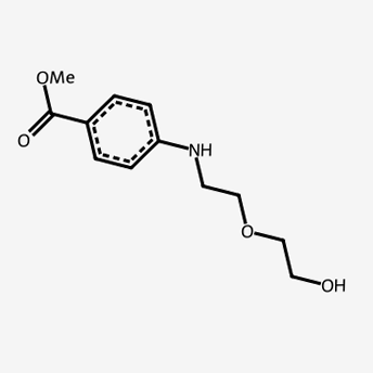 COC(=O)c1ccc(NCCOCCO)cc1